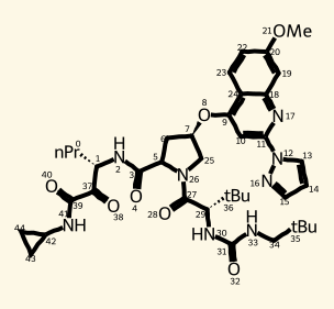 CCC[C@H](NC(=O)C1C[C@@H](Oc2cc(-n3cccn3)nc3cc(OC)ccc23)CN1C(=O)[C@@H](NC(=O)NCC(C)(C)C)C(C)(C)C)C(=O)C(=O)NC1CC1